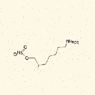 CCCCCCCCCCCCC(C)CO[SH](=O)=O